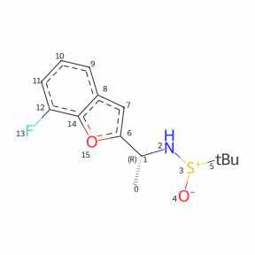 C[C@@H](N[S+]([O-])C(C)(C)C)c1cc2cccc(F)c2o1